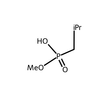 COP(=O)(O)CC(C)C